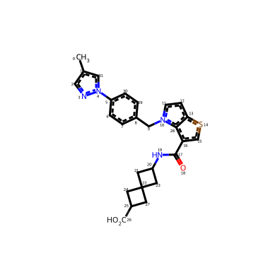 Cc1cnn(-c2ccc(Cn3ccc4scc(C(=O)NC5CC6(C5)CC(C(=O)O)C6)c43)cc2)c1